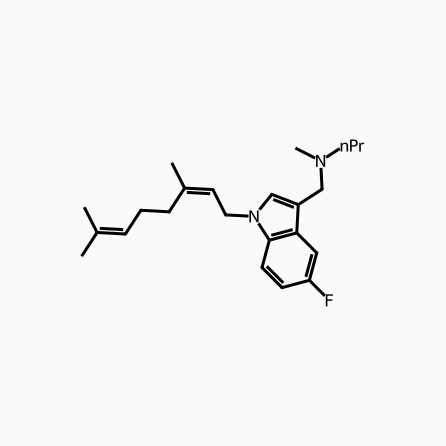 CCCN(C)Cc1cn(CC=C(C)CCC=C(C)C)c2ccc(F)cc12